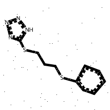 c1ccc(SCCCSc2nnn[nH]2)cc1